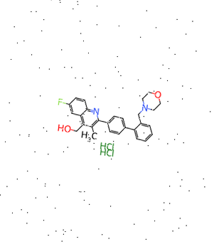 Cc1c(-c2ccc(-c3ccccc3CN3CCOCC3)cc2)nc2ccc(F)cc2c1CO.Cl.Cl